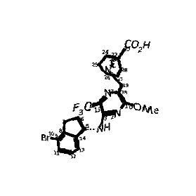 COc1nc(N[C@H]2CCc3c(Br)cccc32)c(C(F)(F)F)nc1CN1CC2(C(=O)O)CCC1CC2